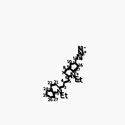 CCN1/C(=C/C=C/c2ccc3cc(CN=[N+]=[N-])ccc3[n+]2CC)C=Cc2ccccc21